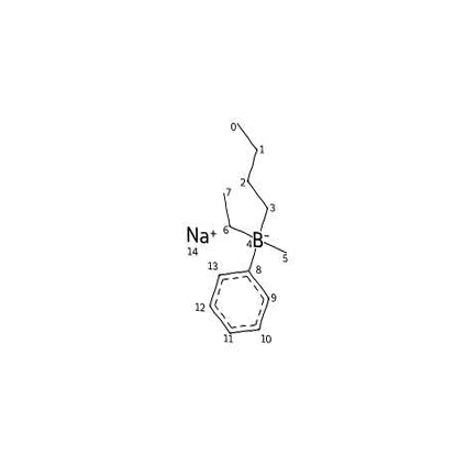 CCCC[B-](C)(CC)c1ccccc1.[Na+]